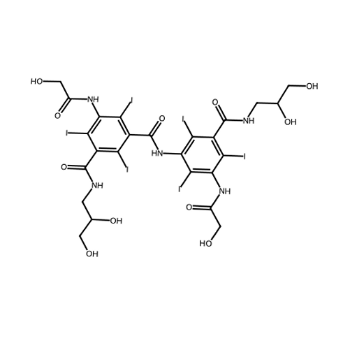 O=C(CO)Nc1c(I)c(NC(=O)c2c(I)c(NC(=O)CO)c(I)c(C(=O)NCC(O)CO)c2I)c(I)c(C(=O)NCC(O)CO)c1I